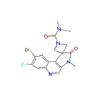 CN(C)C(=O)N1CC2(C1)C(=O)N(C)c1cnc3cc(F)c(Br)cc3c12